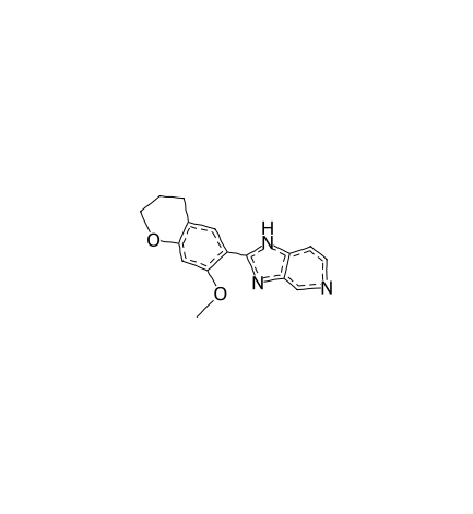 COc1cc2c(cc1-c1nc3cnccc3[nH]1)CCCO2